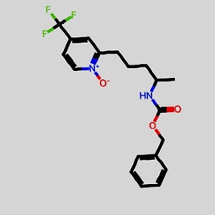 CC(CCCc1cc(C(F)(F)F)cc[n+]1[O-])NC(=O)OCc1ccccc1